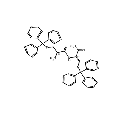 NC(=O)[C@@H](CSC(c1ccccc1)(c1ccccc1)c1ccccc1)NC(=O)[C@@H](N)CSC(c1ccccc1)(c1ccccc1)c1ccccc1